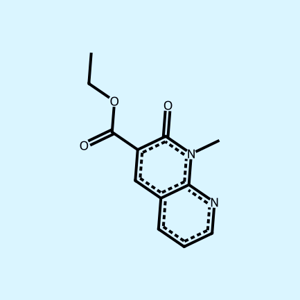 CCOC(=O)c1cc2cccnc2n(C)c1=O